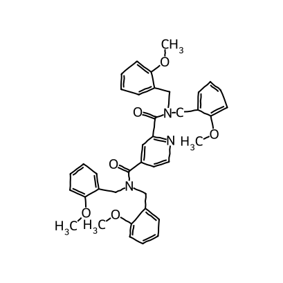 COc1ccccc1CN(Cc1ccccc1OC)C(=O)c1ccnc(C(=O)N(Cc2ccccc2OC)Cc2ccccc2OC)c1